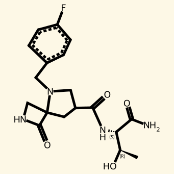 C[C@@H](O)[C@H](NC(=O)C1CN(Cc2ccc(F)cc2)C2(CNC2=O)C1)C(N)=O